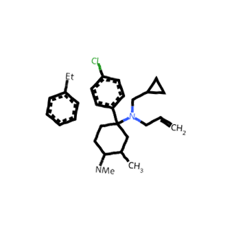 C=CCN(CC1CC1)C1(c2ccc(Cl)cc2)CCC(NC)C(C)C1.CCc1ccccc1